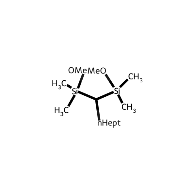 CCCCCCCC([Si](C)(C)OC)[Si](C)(C)OC